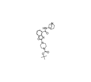 CC(C)(C)OC(=O)N1CCN(c2nc3c(C(=O)NC4CN5CCC4CC5)cccc3o2)CC1